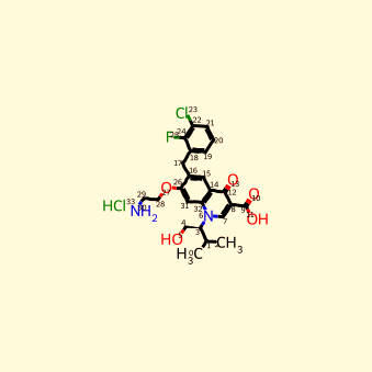 CC(C)[C@@H](CO)n1cc(C(=O)O)c(=O)c2cc(Cc3cccc(Cl)c3F)c(OCCN)cc21.Cl